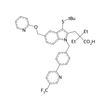 CCC(CC)(Cc1c(SC(C)(C)C)c2cc(COc3ccccn3)ccc2n1Cc1ccc(-c2ccc(C(F)(F)F)cn2)cc1)C(=O)O